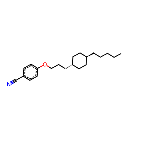 CCCCC[C@H]1CC[C@H](CCCOc2ccc(C#N)cc2)CC1